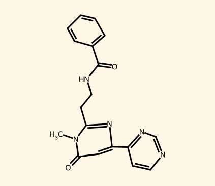 Cn1c(CCNC(=O)c2ccccc2)nc(-c2ccncn2)cc1=O